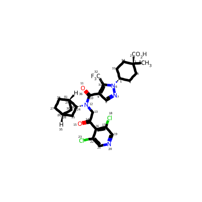 C[C@]1(C(=O)O)CC[C@H](n2ncc(C(=O)N(CC(=O)c3c(Cl)cncc3Cl)[C@@H]3C[C@@H]4CC[C@H]3C4)c2C(F)(F)F)CC1